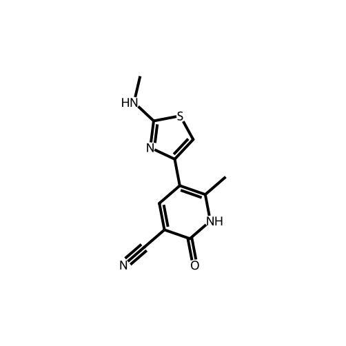 CNc1nc(-c2cc(C#N)c(=O)[nH]c2C)cs1